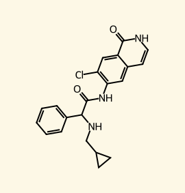 O=C(Nc1cc2cc[nH]c(=O)c2cc1Cl)C(NCC1CC1)c1ccccc1